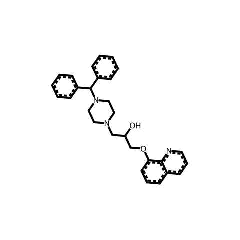 OC(COc1cccc2cccnc12)CN1CCN(C(c2ccccc2)c2ccccc2)CC1